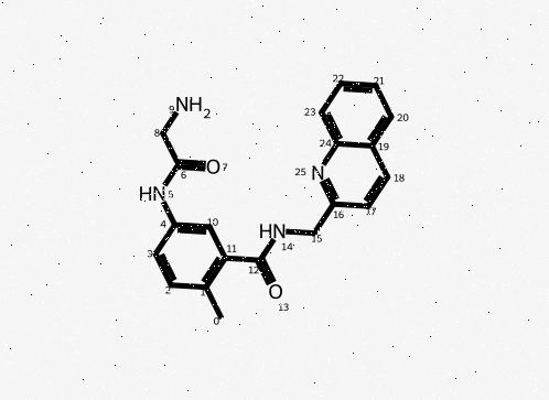 Cc1ccc(NC(=O)CN)cc1C(=O)NCc1ccc2ccccc2n1